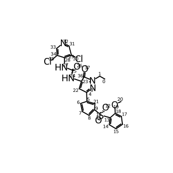 CCn1nc(-c2cccc(S(=O)(=O)c3ccccc3OC)c2)cc(NC(=O)Nc2c(Cl)cncc2Cl)c1=O